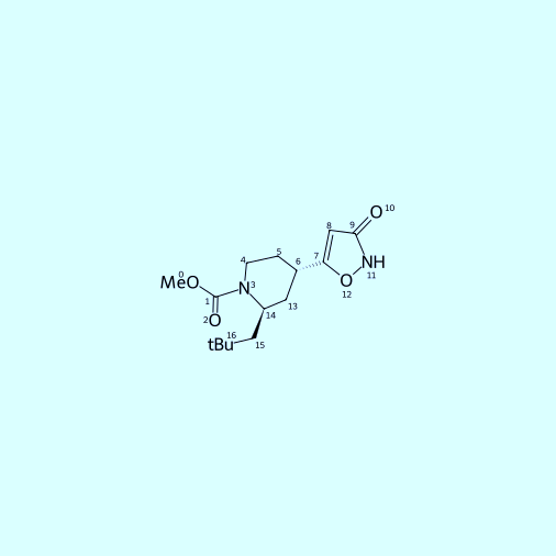 COC(=O)N1CC[C@H](c2cc(=O)[nH]o2)C[C@H]1CC(C)(C)C